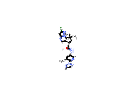 Cc1cc(NC(=O)C2CC(C)(C)c3c2cnc2cc(Cl)nn32)cnc1-n1nccn1